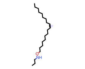 CCCCCCCC/C=C\CCCCCCCCONCCC